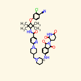 CC1(C)C(NC(=O)c2ccc(N3CCC(CN4CCC[C@@H](Nc5ccc6c(c5)C(=O)N(C5CCC(=O)NC5=O)C6=O)C4)CC3)nc2)C(C)(C)C1Oc1ccc(C#N)c(Cl)c1